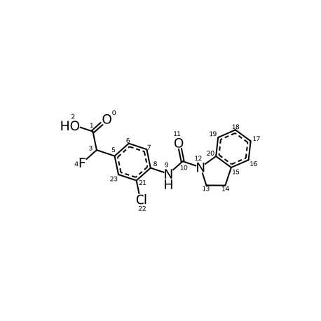 O=C(O)C(F)c1ccc(NC(=O)N2CCc3ccccc32)c(Cl)c1